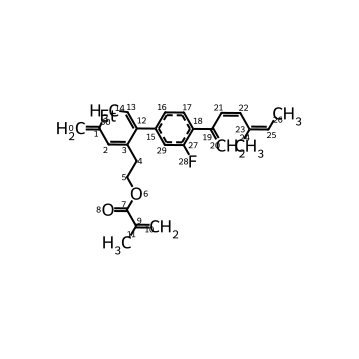 C=C(/C=C(CCOC(=O)C(=C)C)\C(=C/C)c1ccc(C(=C)/C=C\C(C)=C/C)c(F)c1)CC